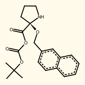 CC(C)(C)OC(=O)OC(=O)[C@]1(OCc2ccc3ccccc3c2)CCCN1